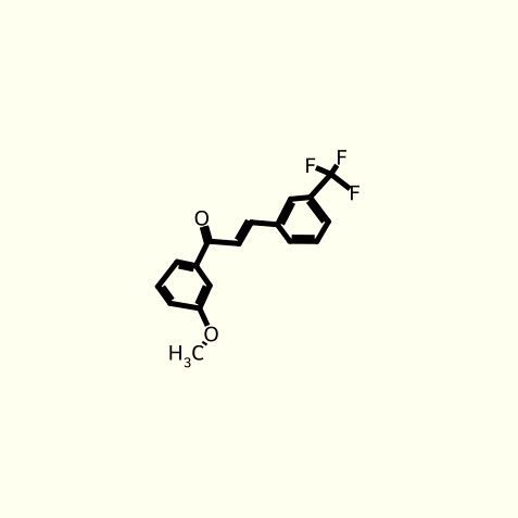 COc1cccc(C(=O)C=Cc2cccc(C(F)(F)F)c2)c1